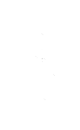 N#Cc1ccc2c(c1)c1ccccc1n2-c1ccccc1-c1cc(-c2ccc(-n3c4ccccc4c4ccccc43)cc2)c(C#N)cc1C#N